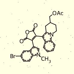 CC(=O)OCC1CCn2c(c(C3=C(c4cn(C)c5ccc(Br)cc45)C(=O)OC3=O)c3ccccc32)C1